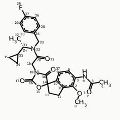 COc1c(NC(C)=O)ccc2c1CCC21OC(=O)N(CC(=O)N(Cc2ccc(F)cc2)[C@@H](C)C2CC2)C1=O